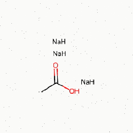 [CH2]C(=O)O.[NaH].[NaH].[NaH]